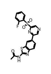 CC(=O)Nc1nc2ccc(-c3cncc(S(=O)(=O)c4ccccc4F)n3)cc2s1